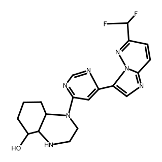 OC1CCCC2C1NCCN2c1cc(-c2cnc3ccc(C(F)F)nn23)ncn1